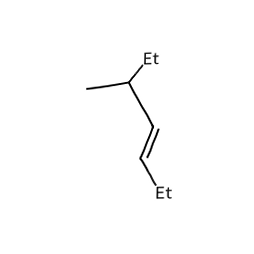 [CH2]C/C=C/C(C)CC